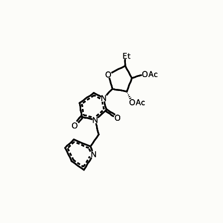 CCC1OC(n2ccc(=O)n(Cc3ccccn3)c2=O)[C@@H](OC(C)=O)C1OC(C)=O